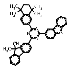 CC1(C)CCC(C)(C)c2cc(-c3nc(-c4ccc5c(c4)C(C)(C)c4ccccc4-5)nc(-c4ccc5sc6ccccc6c5c4)n3)ccc21